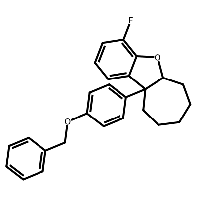 Fc1cccc2c1OC1CCCCCC21c1ccc(OCc2ccccc2)cc1